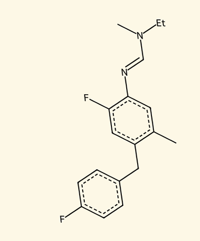 CCN(C)/C=N/c1cc(C)c(Cc2ccc(F)cc2)cc1F